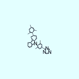 Cc1cc(C)c(-c2ccc3c(c2)c2ccccc2n3-c2c(C)cc(-c3ncncn3)cc2C)c(C)c1